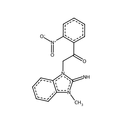 Cn1c(=N)n(CC(=O)c2ccccc2[N+](=O)[O-])c2ccccc21